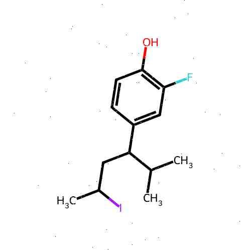 CC(I)CC(c1ccc(O)c(F)c1)C(C)C